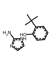 CC(C)(C)c1ccccc1O.Nc1ncc[nH]1